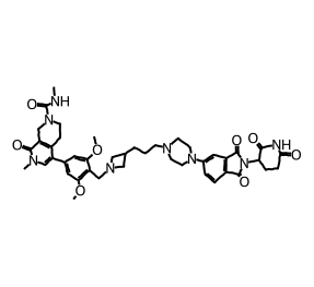 CNC(=O)N1CCc2c(-c3cc(OC)c(CN4CC(CCCN5CCN(c6ccc7c(c6)C(=O)N(C6CCC(=O)NC6=O)C7=O)CC5)C4)c(OC)c3)cn(C)c(=O)c2C1